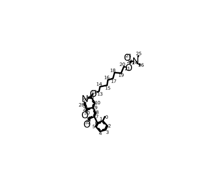 Cc1ccccc1-c1cc2cc(OCCCCCCCCOC(=O)N(C)C)ncc2oc1=O